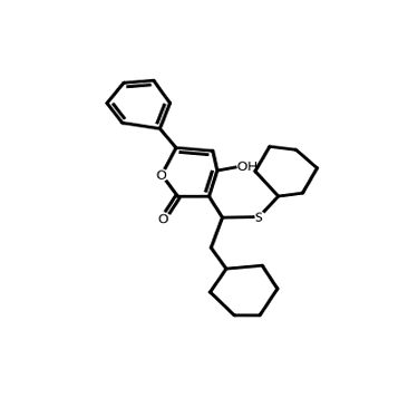 O=c1oc(-c2ccccc2)cc(O)c1C(CC1CCCCC1)SC1CCCCC1